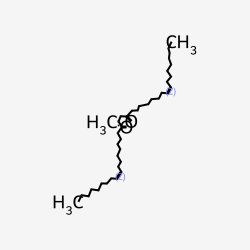 CCCCCCCC/C=C\CCCCCCCC(=O)C[C](C)C(=O)CCCCCCC/C=C\CCCCCCCC